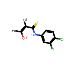 CC(C)C(O)=C(C#N)C(=S)Nc1ccc(Cl)c(Cl)c1